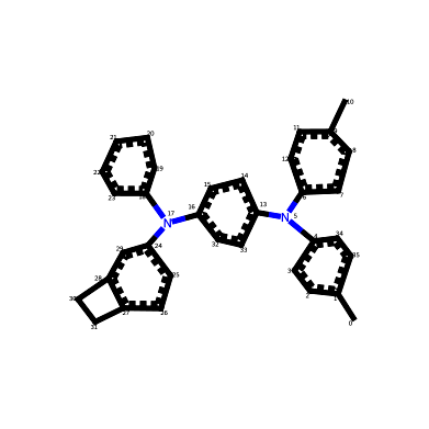 Cc1ccc(N(c2ccc(C)cc2)c2ccc(N(c3ccccc3)c3ccc4c(c3)CC4)cc2)cc1